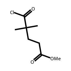 COC(=O)CCC(C)(C)C(=O)Cl